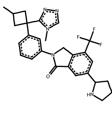 CC1CC(c2cccc(N3Cc4c(cc(C5CCCN5)cc4C(F)(F)F)C3=O)c2)(c2nncn2C)C1